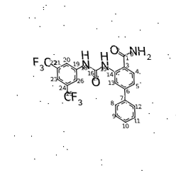 NC(=O)c1ccc(-c2ccccc2)cc1NC(=O)Nc1cc(C(F)(F)F)cc(C(F)(F)F)c1